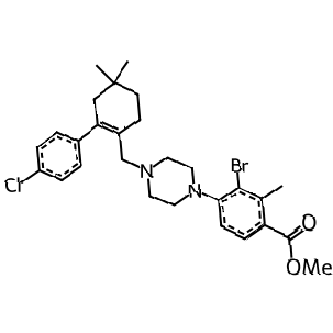 COC(=O)c1ccc(N2CCN(CC3=C(c4ccc(Cl)cc4)CC(C)(C)CC3)CC2)c(Br)c1C